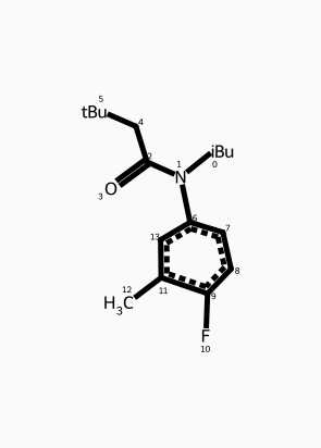 CCC(C)N(C(=O)CC(C)(C)C)c1ccc(F)c(C)c1